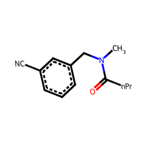 CCCC(=O)N(C)Cc1cccc(C#N)c1